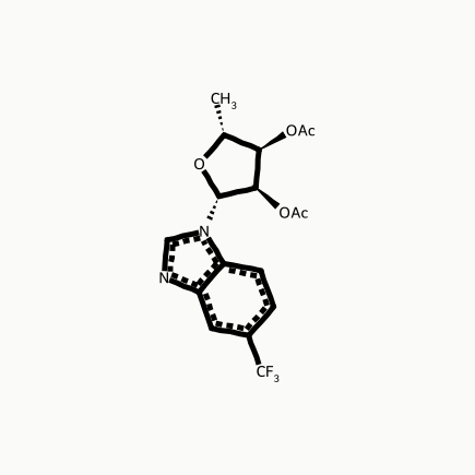 CC(=O)O[C@@H]1[C@H](OC(C)=O)[C@@H](C)O[C@H]1n1cnc2cc(C(F)(F)F)ccc21